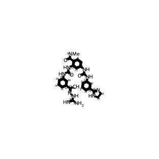 CNC(=O)c1ccc(NC(=O)Nc2cccc(C3=NCCN3)c2)cc1NC(=O)Nc1cccc(/C(C)=N/NC(=N)N)c1